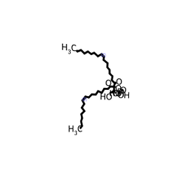 CCCCCCCC/C=C\CCCCCCCC(=O)C(OP(=O)(O)O)(C(=O)CCCCCCC/C=C\CCCCCCCC)[C@@H](O)CO